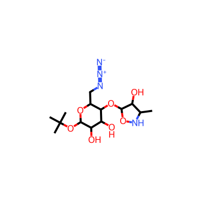 CC1NOC(OC2C(CN=[N+]=[N-])OC(OC(C)(C)C)C(O)C2O)C1O